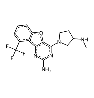 CNC1CCN(c2nc(N)nc3c2oc2cccc(C(F)(F)F)c23)C1